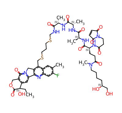 CC[C@@]1(O)C(=O)OCc2c1cc1n(c2=O)Cc2c-1nc1cc(F)c(C)cc1c2CSCCCSCNC(=O)[C@H](C)NC(=O)[C@H](C)NC(=O)[C@H](C)NC(=O)[C@H](CCC(=O)N(C)CCCC[C@H](O)CO)NC(=O)CCN1C(=O)C=CC1=O